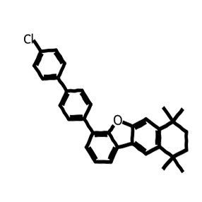 CC1(C)CCC(C)(C)c2cc3c(cc21)oc1c(-c2ccc(-c4ccc(Cl)cc4)cc2)cccc13